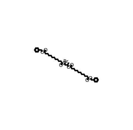 O=C(CCCCCCCCCCC(=O)OCC(CBr)OC(=O)CCCCCCCCCCC(=O)OCc1ccccc1)OCc1ccccc1